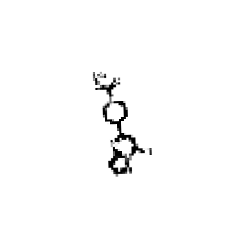 CC(C)(C)OC(=O)N1CCC(c2cc(Cl)n3nccc3n2)CC1